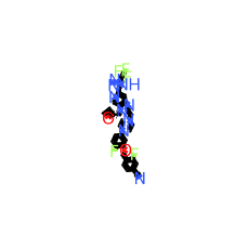 N#Cc1ccc(COc2cc(N3CCN(Cc4nc5cc(-c6nnc(C(F)(F)F)[nH]6)ncc5n4C[C@@H]4CCO4)CC3)ccc2F)c(F)c1